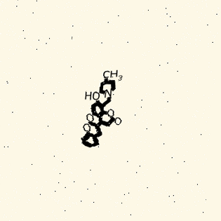 CC1CCN(Cc2c(O)ccc3c(-c4cc5ccccc5oc4=O)cc(=O)oc23)CC1